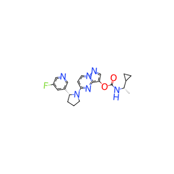 C[C@H](NC(=O)Oc1cnn2ccc(N3CCC[C@@H]3c3cncc(F)c3)nc12)C1CC1